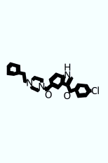 O=C(c1ccc(Cl)cc1)c1c[nH]c2ccc(C(=O)N3CCN(CCc4ccccc4)CC3)cc12